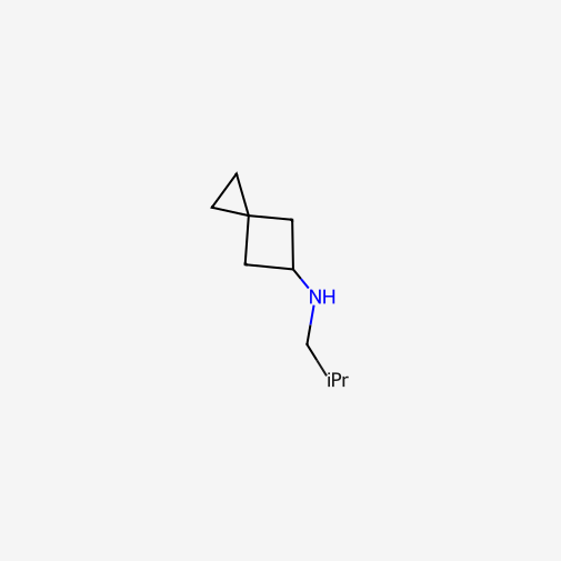 CC(C)CNC1CC2(CC2)C1